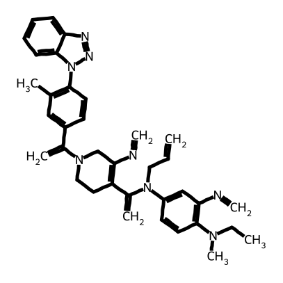 C=CCN(C(=C)C1=C(N=C)CN(C(=C)c2ccc(-n3nnc4ccccc43)c(C)c2)CC1)c1ccc(N(C)CC)c(N=C)c1